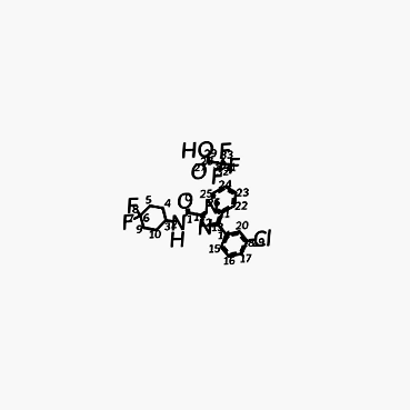 O=C(NC1CCC(F)(F)CC1)c1nc(-c2cccc(Cl)c2)c2ccccn12.O=C(O)C(F)(F)F